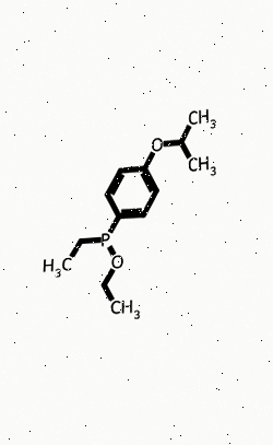 CCOP(CC)c1ccc(OC(C)C)cc1